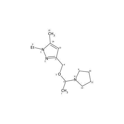 CCn1nc(COC(C)N2CCCC2)cc1C